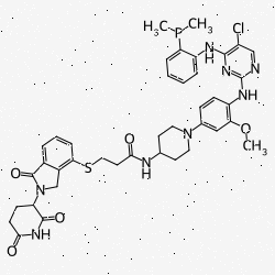 COc1cc(N2CCC(NC(=O)CCSc3cccc4c3CN(C3CCC(=O)NC3=O)C4=O)CC2)ccc1Nc1ncc(Cl)c(Nc2ccccc2P(C)C)n1